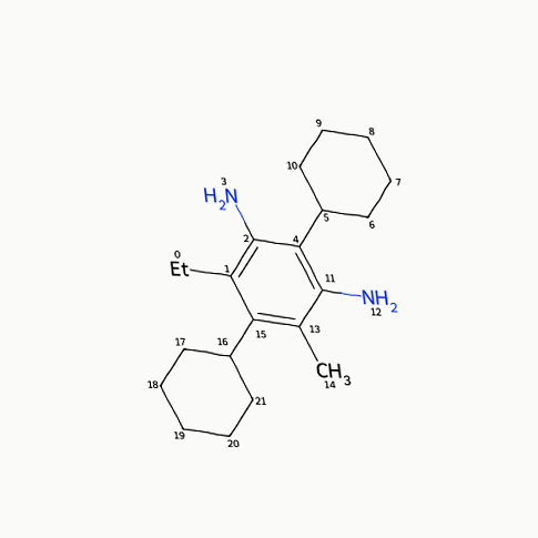 CCc1c(N)c(C2CCCCC2)c(N)c(C)c1C1CCCCC1